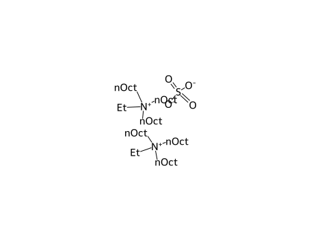 CCCCCCCC[N+](CC)(CCCCCCCC)CCCCCCCC.CCCCCCCC[N+](CC)(CCCCCCCC)CCCCCCCC.O=S(=O)([O-])[O-]